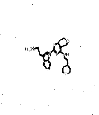 NCCc1cn(-c2nc3c(c(NCCC4CCOCC4)n2)COCC3)c2ccccc12